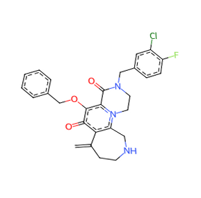 C=C1CCNCc2c1c(=O)c(OCc1ccccc1)c1n2CCN(Cc2ccc(F)c(Cl)c2)C1=O